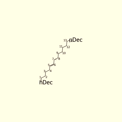 CCCCCCCCCCCCCCC=C[CH]CCCCCCCCCCCCCCCC